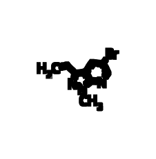 C=Cc1nn(C)c2ncc(Br)cc12